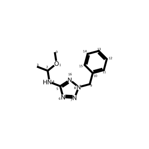 COC(C)Nc1nnn(Cc2ccccc2)n1